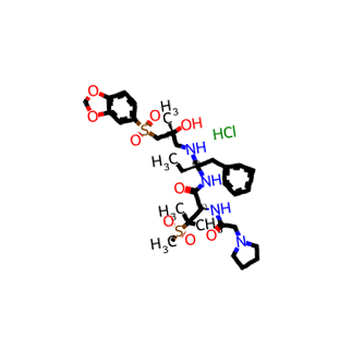 CC[C@](Cc1ccccc1)(NC[C@@](C)(O)CS(=O)(=O)c1ccc2c(c1)OCO2)NC(=O)[C@H](NC(=O)CN1CCCC1)C(C)(C)S(C)(=O)=O.Cl